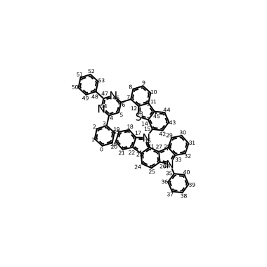 c1ccc(-c2cc(-c3cccc4c3sc3c(-n5c6ccccc6c6ccc7c(c8ccccc8n7-c7ccccc7)c65)cccc34)nc(-c3ccccc3)n2)cc1